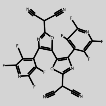 N#CC(C#N)c1nc(-c2c(F)c(F)nc(F)c2F)c(-c2oc(C(C#N)C#N)nc2-c2c(F)c(F)nc(F)c2F)o1